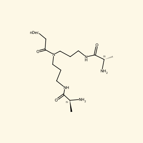 CCCCCCCCCCCC(=O)N(CCCNC(=O)[C@H](C)N)CCCNC(=O)[C@H](C)N